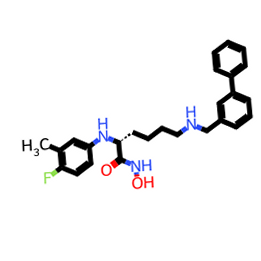 Cc1cc(N[C@H](CCCCNCc2cccc(-c3ccccc3)c2)C(=O)NO)ccc1F